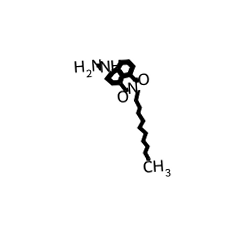 CCCCCCCCCCCCN1C(=O)c2cccc3c(NN)ccc(c23)C1=O